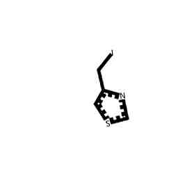 ICc1cscn1